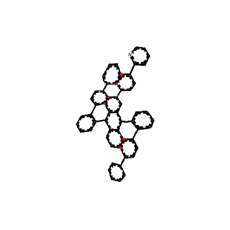 c1ccc(-c2ccc(-c3ccccc3-c3c4ccccc4c(-c4ccccc4-c4ccc(-c5ccccc5)cc4)c4cc(-c5ccc(-c6ccccn6)cn5)ccc34)cc2)cc1